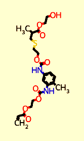 C=CC(=O)OCCOC(=O)Nc1cc(NC(=O)OCCSCC(C)C(=O)OCCO)ccc1C